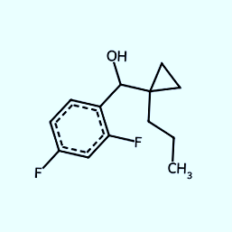 CCCC1(C(O)c2ccc(F)cc2F)CC1